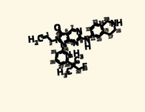 C=CCn1c(=O)c2cnc(Nc3ccc4c(c3)CCNC4)nc2n1-c1cccc(C(C)(C)CF)n1